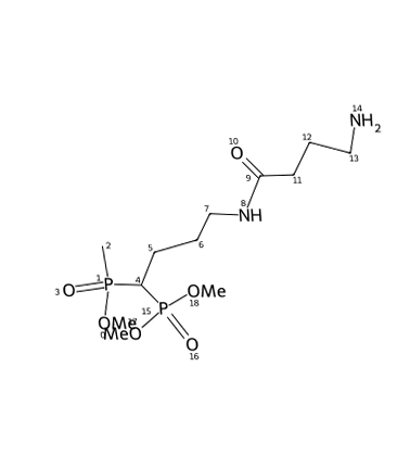 COP(C)(=O)C(CCCNC(=O)CCCN)P(=O)(OC)OC